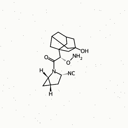 [C-]#[N+][C@@H]1C[C@@H]2C[C@@H]2N1C(=O)[C@@H](ON)C12CC3CC(CC(O)(C3)C1)C2